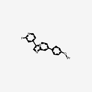 CC(C)Oc1ccc(-c2ccn3c(-c4ccnc(F)c4)cnc3c2)cc1